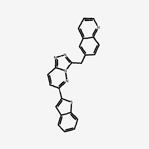 c1cnc2ccc(Cc3nnc4ccc(-c5cc6ccccc6s5)nn34)cc2c1